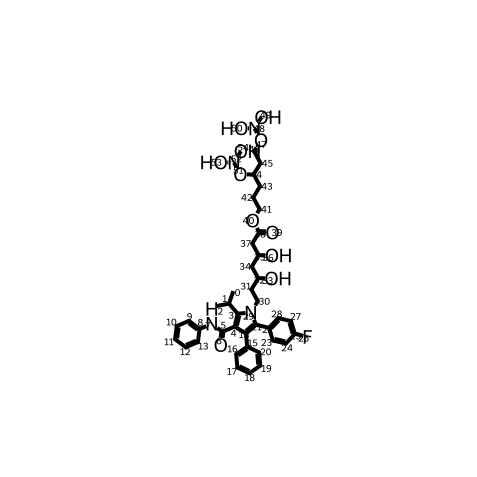 CC(C)c1c(C(=O)Nc2ccccc2)c(-c2ccccc2)c(-c2ccc(F)cc2)n1CCC(O)CC(O)CC(=O)OCCCC(CCON(O)O)ON(O)O